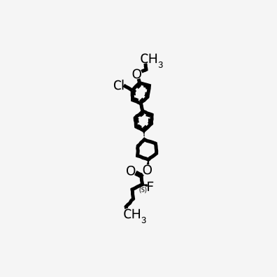 CCCC[C@H](F)C(=O)O[C@H]1CC[C@H](c2ccc(-c3ccc(OCC)c(Cl)c3)cc2)CC1